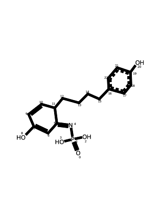 O=P(O)(O)N=C1C=C(O)C=CC1CCCCc1ccc(O)cc1